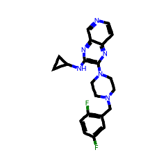 Fc1ccc(F)c(CN2CCN(c3nc4ccncc4nc3NC3CC3)CC2)c1